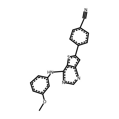 COc1cccc(Nc2ncnc3cc(-c4ccc(C#N)cc4)sc23)c1